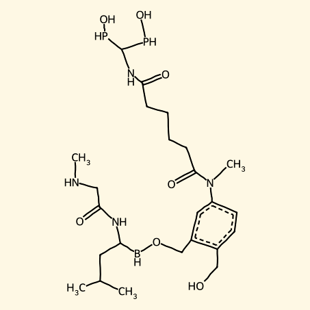 CNCC(=O)NC(BOCc1cc(N(C)C(=O)CCCCC(=O)NC(PO)PO)ccc1CO)CC(C)C